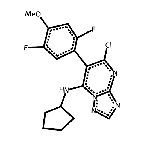 COc1cc(F)c(-c2c(Cl)nc3ncnn3c2NC2CCCC2)cc1F